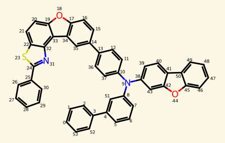 c1ccc(-c2cccc(N(c3ccc(-c4ccc5oc6ccc7sc(-c8ccccc8)nc7c6c5c4)cc3)c3ccc4c(c3)oc3ccccc34)c2)cc1